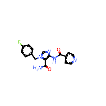 NC(=O)c1c(NC(=O)c2ccncc2)ncn1Cc1ccc(F)cc1